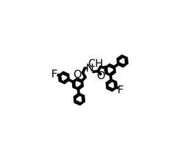 CN(CC1Cc2cc(-c3ccccc3)cc(-c3ccc(F)cc3)c2O1)CC1Cc2cc(-c3ccccc3)cc(-c3cccc(F)c3)c2O1